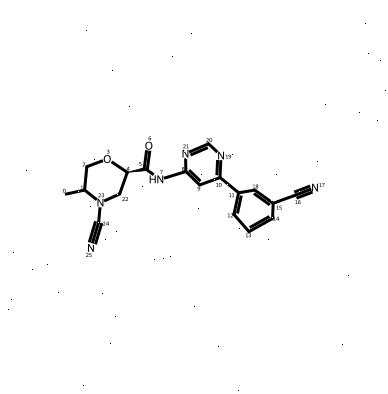 CC1CO[C@@H](C(=O)Nc2cc(-c3cccc(C#N)c3)ncn2)CN1C#N